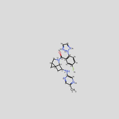 Cc1cnc(NC2CC34CC3CN(C(=O)c3cc(F)ccc3-n3nccn3)C24)cn1